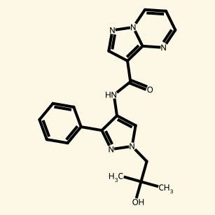 CC(C)(O)Cn1cc(NC(=O)c2cnn3cccnc23)c(-c2ccccc2)n1